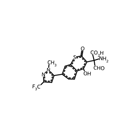 Cn1nc(C(F)(F)F)cc1-c1ccc2c(O)c(C(N)(C=O)C(=O)O)c(=O)sc2c1